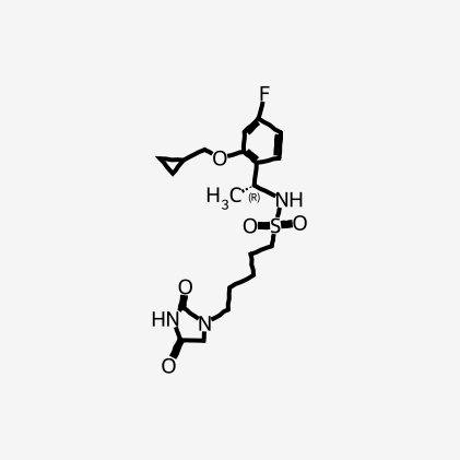 C[C@@H](NS(=O)(=O)CCCCCN1CC(=O)NC1=O)c1ccc(F)cc1OCC1CC1